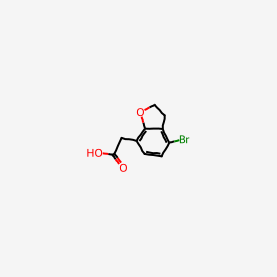 O=C(O)Cc1ccc(Br)c2c1OCC2